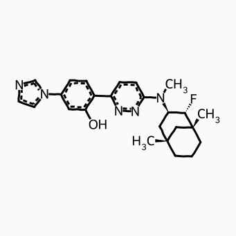 CN(c1ccc(-c2ccc(-n3ccnc3)cc2O)nn1)[C@@H]1C[C@@]2(C)CCC[C@](C)(C2)[C@H]1F